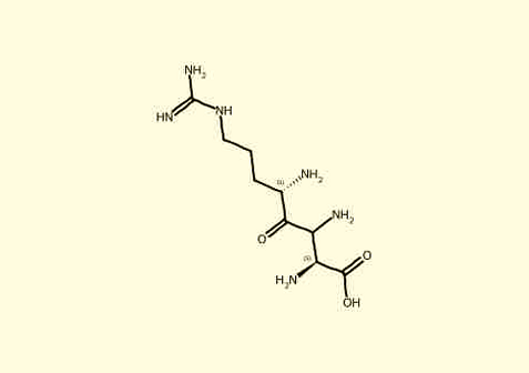 N=C(N)NCCC[C@H](N)C(=O)C(N)[C@H](N)C(=O)O